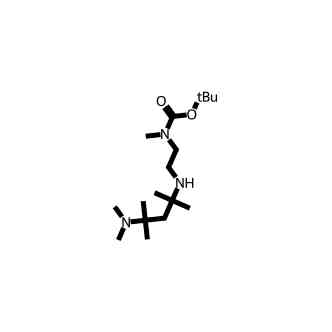 CN(CCNC(C)(C)CC(C)(C)N(C)C)C(=O)OC(C)(C)C